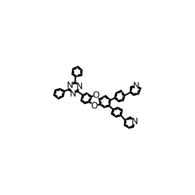 c1ccc(-c2nc(-c3ccccc3)nc(-c3ccc4c(c3)Oc3cc(-c5ccc(-c6cccnc6)cc5)c(-c5ccc(-c6cccnc6)cc5)cc3O4)n2)cc1